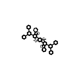 C[Si]1(C)c2cc3c(cc2-c2c1cc(-c1cc(-c4ccccc4)cc(-c4ccccc4)c1)c1c4c(oc21)C=CCC4)[Si](C)(C)c1cc(-c2cc(-c4ccccc4)cc(-c4ccccc4)c2)c2c(oc4ccccc42)c1-3